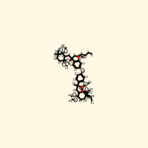 CCCCCCC(C)(CC1C(OC)(OC)CCC(C)(C)C1(OC)OC)c1ccc(Oc2ccc(C(C)(CCCCCC)CC3C(OC)(OC)CCC(C)(C)C3(OC)OC)c(OC)c2)cc1OC